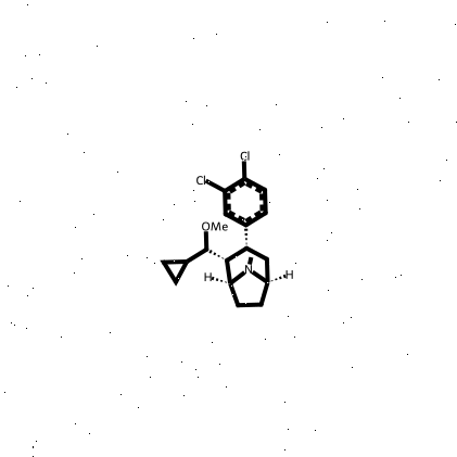 COC(C1CC1)[C@@H]1[C@H](c2ccc(Cl)c(Cl)c2)C[C@H]2CC[C@@H]1N2C